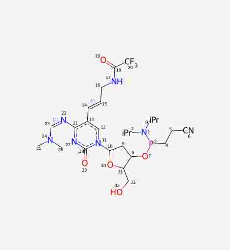 CC(C)N(C(C)C)P(CCC#N)OC1CC(n2cc(/C=C/CNC(=O)C(F)(F)F)c(/N=C\N(C)C)nc2=O)OC1CO